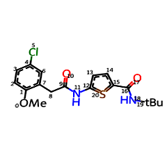 COc1ccc(Cl)cc1CC(=O)Nc1ccc(C(=O)NC(C)(C)C)s1